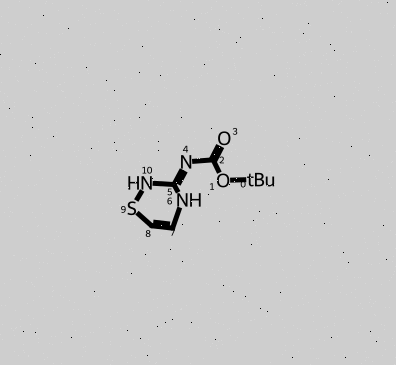 CC(C)(C)OC(=O)N=C1NC=CSN1